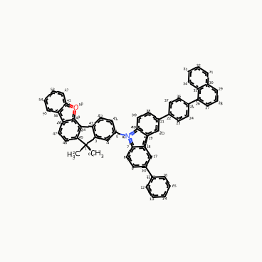 CC1(C)c2cc(-n3c4ccc(-c5ccccc5)cc4c4cc(-c5ccc(-c6cccc7ccccc67)cc5)ccc43)ccc2-c2c1ccc1c2oc2ccccc21